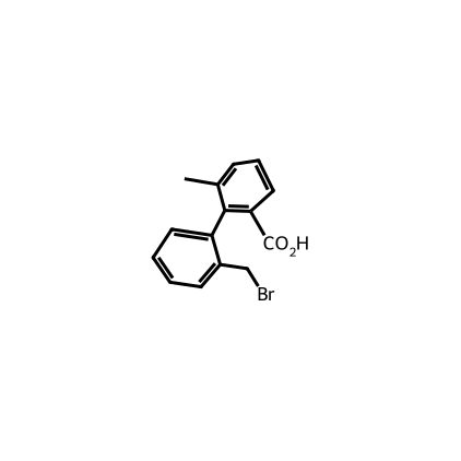 Cc1cccc(C(=O)O)c1-c1ccccc1CBr